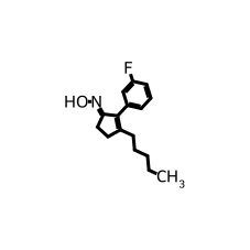 CCCCCC1=C(c2cccc(F)c2)/C(=N/O)CC1